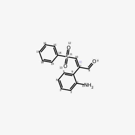 Nc1ccccc1/C(C=O)=C\S(=O)(=O)c1ccccc1